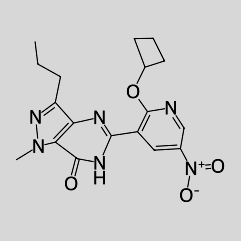 CCCc1nn(C)c2c(=O)[nH]c(-c3cc([N+](=O)[O-])cnc3OC3CCC3)nc12